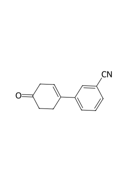 N#Cc1cccc(C2=CCC(=O)CC2)c1